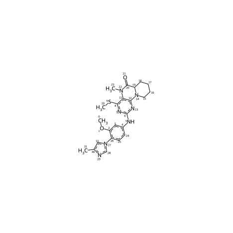 COc1cc(Nc2nc(SC)c3c(n2)N2CCCCC2C(=O)N3C)ccc1-n1cnc(C)c1